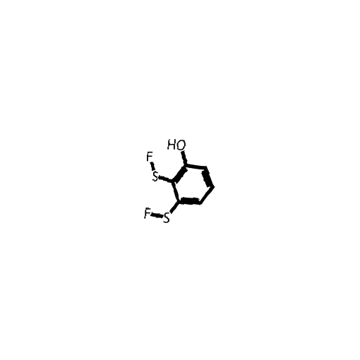 Oc1cccc(SF)c1SF